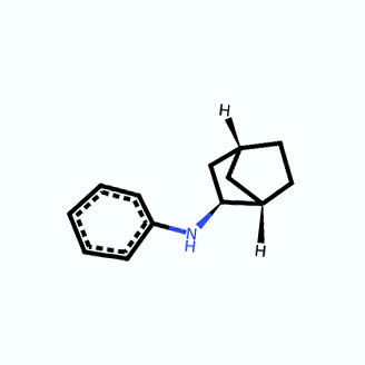 c1ccc(N[C@H]2C[C@@H]3CC[C@H]2C3)cc1